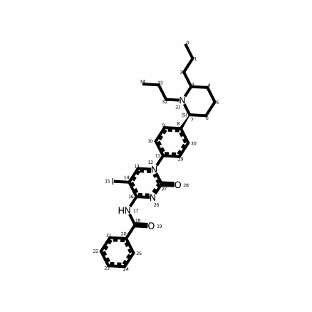 CCCC1CCC[C@@H](c2ccc(-n3cc(I)c(NC(=O)c4ccccc4)nc3=O)cc2)N1CCC